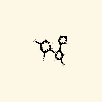 Cc1cc(-c2ccco2)n(-c2ncc(Cl)cc2Cl)n1